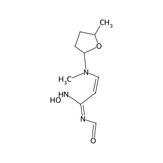 CC1CCC(N(C)/C=C\C(=N/C=O)NO)O1